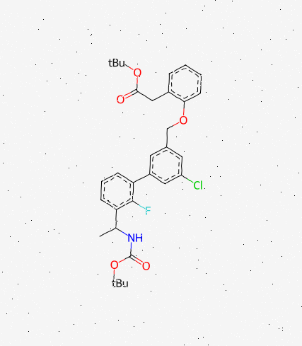 CC(NC(=O)OC(C)(C)C)c1cccc(-c2cc(Cl)cc(COc3ccccc3CC(=O)OC(C)(C)C)c2)c1F